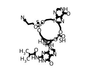 CC(C)C(=O)Nc1nc2c(ncn2[C@@H]2O[C@@H]3COP(=S)(OCCC#N)OCCn4c(nc5c(=O)[nH]cnc54)COP(=O)(S)O[C@@H]2[C@@H]3F)c(=O)[nH]1